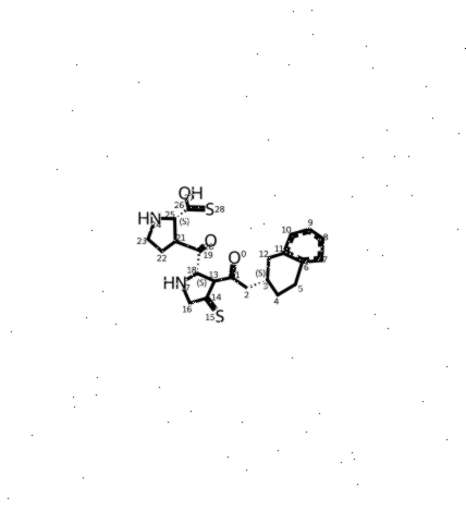 O=C(C[C@H]1CCc2ccccc2C1)C1C(=S)CN[C@@H]1C(=O)C1CCN[C@@H]1C(O)=S